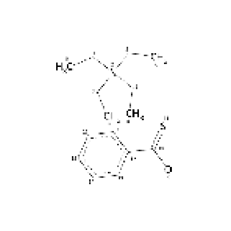 CC[N+](CC)(CC)CC.[O-]C(=S)c1ccccc1